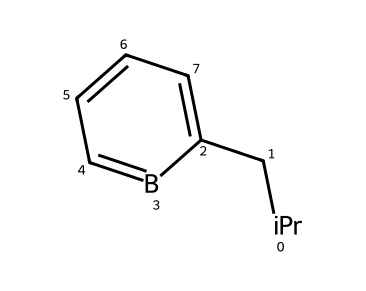 CC(C)Cc1bcccc1